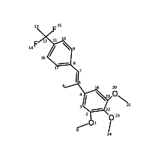 COc1cc(/C(C)=C/c2ccc(C(C)(F)F)cc2)cc(OC)c1OC